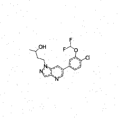 CC(O)CCn1ncc2ncc(-c3ccc(Cl)c(OC(F)F)c3)cc21